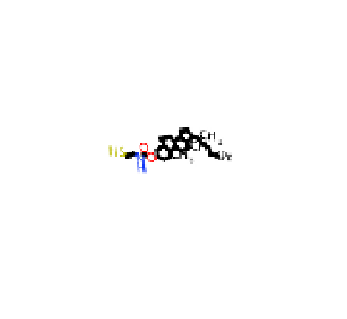 CC(C)CCC[C@@H](C)C1CCC2C3CC=C4C[C@@H](OC(=O)NCCS)CC[C@]4(C)C3CC[C@@]21C